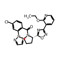 CCOc1ncccc1-c1noc([C@@H]2CCCN2C(=O)c2ccc(Cl)cc2-n2nccn2)n1